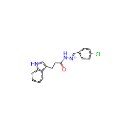 O=C(CCc1c[nH]c2ccccc12)N/N=C/c1ccc(Cl)cc1